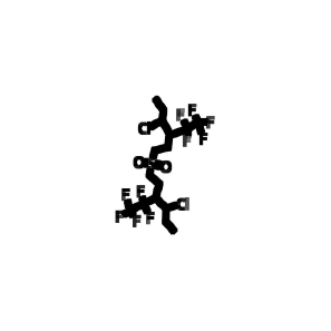 CCC(Cl)C(CCS(=O)(=O)CCC(C(Cl)CC)C(F)(F)C(F)(F)F)C(F)(F)C(F)(F)F